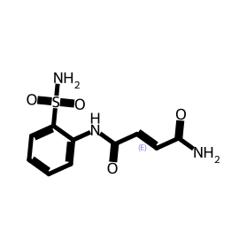 NC(=O)/C=C/C(=O)Nc1ccccc1S(N)(=O)=O